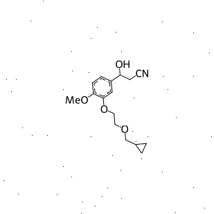 COc1ccc(C(O)CC#N)cc1OCCOCC1CC1